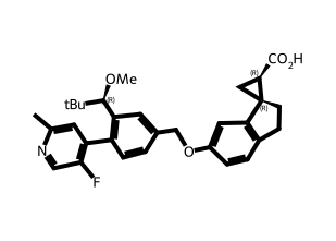 CO[C@@H](c1cc(COc2ccc3c(c2)[C@]2(CC3)C[C@H]2C(=O)O)ccc1-c1cc(C)ncc1F)C(C)(C)C